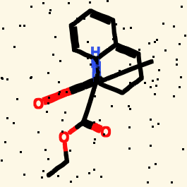 CCOC(=O)C1=C2CCC=C3C=CC=CC32NNC1=O